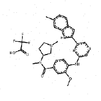 COc1cc(C(=O)N(C)C2CCN(C)C2)ccc1Nc1cncc(-c2cc3ccc(C)cc3[nH]2)n1.O=C(O)C(F)(F)F